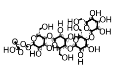 O=S(=O)(O)OO[C@H]1O[C@H](CO)[C@@H](O[C@H]2O[C@H](CO)[C@@H](O[C@H]3O[C@H](CO)[C@@H](O[C@H]4O[C@H](CO)[C@@H](O)[C@H](O)[C@H]4O)[C@H](O)[C@H]3O)[C@H](O)[C@H]2O)[C@H](O)[C@H]1O